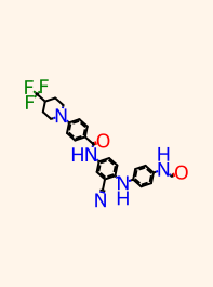 N#Cc1cc(NC(=O)c2ccc(N3CCC(C(F)(F)F)CC3)cc2)ccc1Nc1ccc(NC=O)cc1